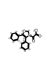 O=C(Cl)C(=O)N1COC(c2ccccc2)=C1c1ccccc1